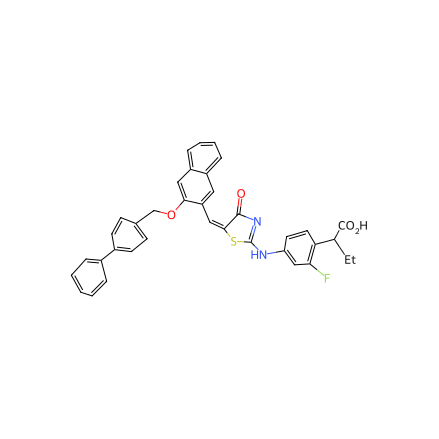 CCC(C(=O)O)c1ccc(NC2=NC(=O)C(=Cc3cc4ccccc4cc3OCc3ccc(-c4ccccc4)cc3)S2)cc1F